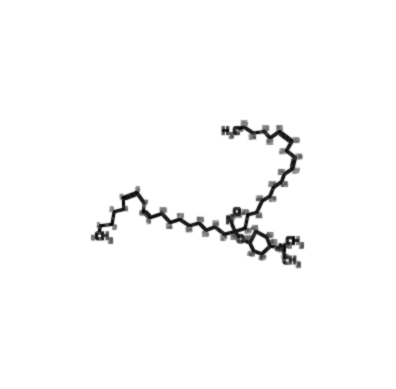 CCCCC/C=C\C/C=C\CCCCCCCCC(CCCCCCCC/C=C\C/C=C\CCCCC)(N=O)OC1CCC(N(C)C)CC1